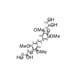 COc1cc(C=Cc2cc(OC)c(OCC(O)CO)c(OC)c2)cc(OC)c1OCC(O)CO